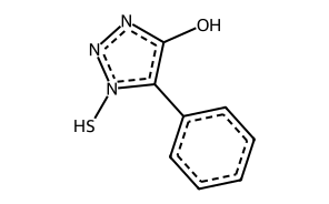 Oc1nnn(S)c1-c1ccccc1